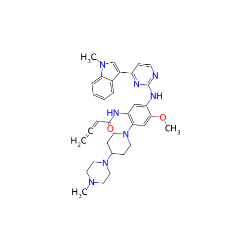 C=C=CC(=O)Nc1cc(Nc2nccc(-c3cn(C)c4ccccc34)n2)c(OC)cc1N1CCC(N2CCN(C)CC2)CC1